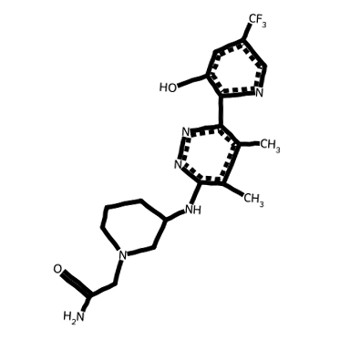 Cc1c(NC2CCCN(CC(N)=O)C2)nnc(-c2ncc(C(F)(F)F)cc2O)c1C